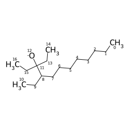 CCCCCCCCC(CC)C([O])(CC)CC